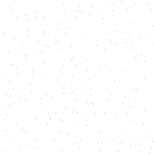 CCCN[C@@H]1CCc2nc(C(C)C)sc2C1